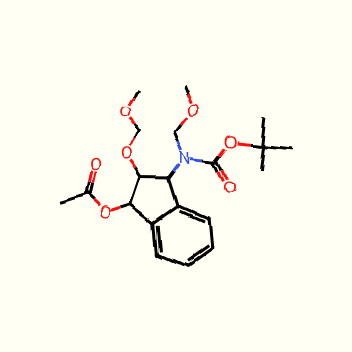 COCOC1C(OC(C)=O)c2ccccc2C1N(COC)C(=O)OC(C)(C)C